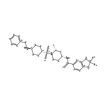 C[C@@H]1C[C@H](NC(=O)c2ccc3c(c2)OC(F)(F)O3)CCN1S(=O)(=O)[C@H]1CC[C@H](NCc2ccccc2)CC1